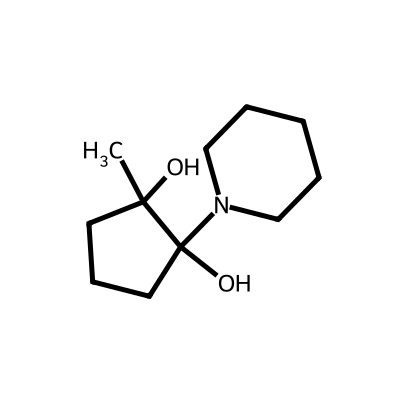 CC1(O)CCCC1(O)N1CCCCC1